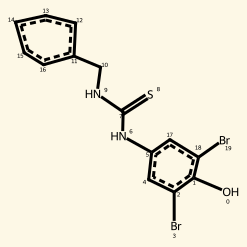 Oc1c(Br)cc(NC(=S)NCc2ccccc2)cc1Br